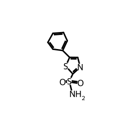 NS(=O)(=O)c1ncc(-c2ccccc2)s1